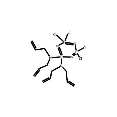 C=CCN(CC=C)P1(N(CC=C)CC=C)=NP(Cl)(Cl)=NP(Cl)(Cl)=N1